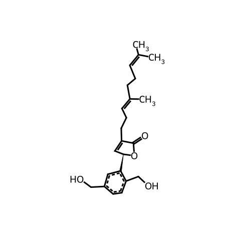 CC(C)=CCC/C(C)=C/CCC1=C[C@H](c2cc(CO)ccc2CO)OC1=O